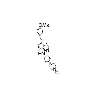 CCN1CCN(c2ccc(Nc3ncnc4c(CCc5ccc(OC)cc5)csc34)cc2)CC1